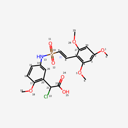 COc1cc(OC)c(/C=C/S(=O)(=O)Nc2ccc(OC)c(C(Cl)C(=O)O)c2)c(OC)c1